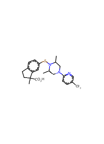 CC1CN(c2ccc(C(F)(F)F)cn2)CC(C)N1Sc1ccc2c(c1)C(C)(C(=O)O)CC2